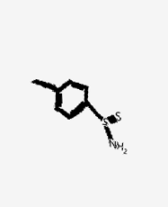 Cc1ccc(S(N)=S)cc1